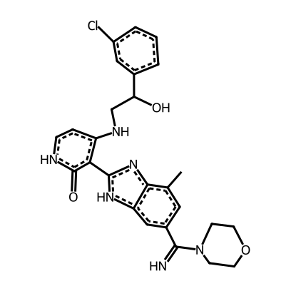 Cc1cc(C(=N)N2CCOCC2)cc2[nH]c(-c3c(NCC(O)c4cccc(Cl)c4)cc[nH]c3=O)nc12